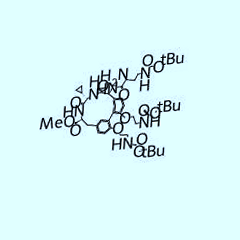 COC(=O)[C@@H]1Cc2ccc(OCCNC(=O)OC(C)(C)C)c(c2)-c2cc(ccc2OCCNC(=O)OC(C)(C)C)[C@H](NC(=O)[C@@H](N)CCNC(=O)OC(C)(C)C)C(=O)N[C@@H](C2CC2)C(=O)N1